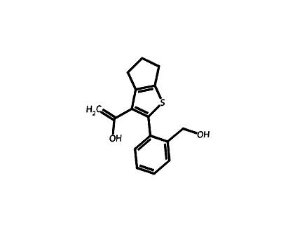 C=C(O)c1c(-c2ccccc2CO)sc2c1CCC2